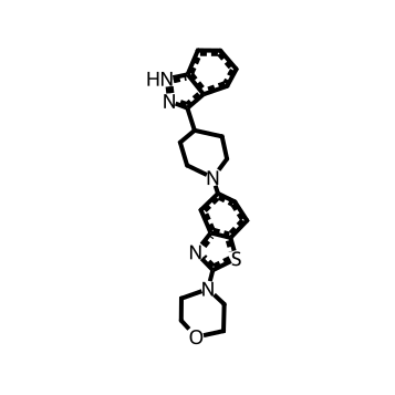 c1ccc2c(C3CCN(c4ccc5sc(N6CCOCC6)nc5c4)CC3)n[nH]c2c1